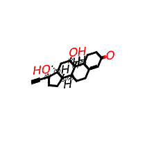 C#C[C@]1(O)CC[C@H]2[C@@H]3CCC4=CC(=O)CC[C@@H]4[C@H]3[C@H](O)C[C@@]21C